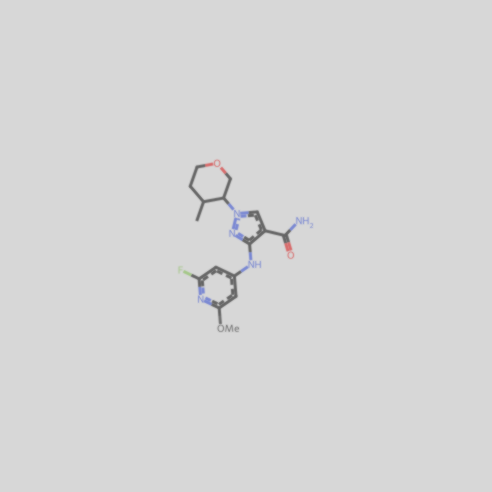 COc1cc(Nc2nn(C3COCCC3C)cc2C(N)=O)cc(F)n1